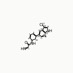 N=CC(=O)NC1C=CC=C(c2cnc3[nH]cc(Cl)c3c2)C1